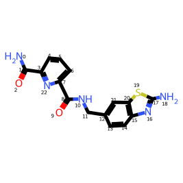 NC(=O)c1cccc(C(=O)NCc2ccc3nc(N)sc3c2)n1